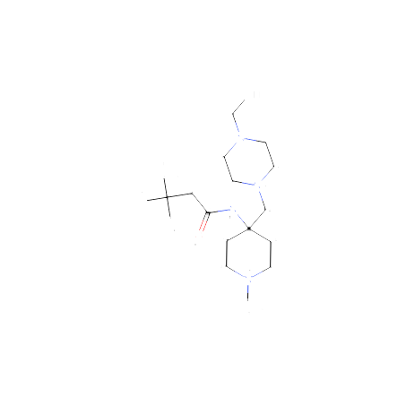 CCN1CCN(CC2(NC(=O)CC(C)(C)C)CCN(C)CC2)CC1